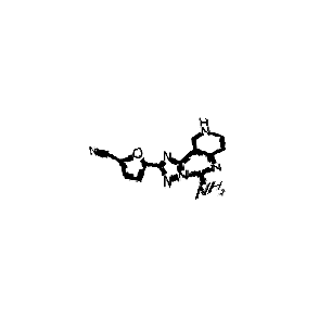 N#Cc1ccc(-c2nc3c4c(nc(N)n3n2)C=CNC4)o1